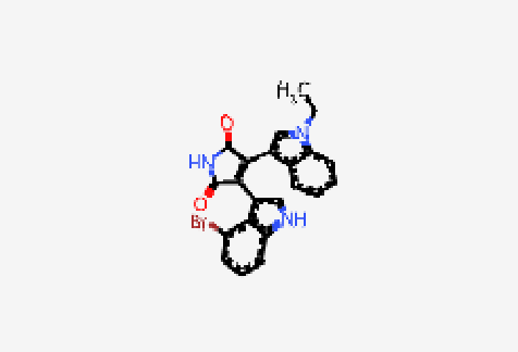 CCn1cc(C2=C(c3c[nH]c4cccc(Br)c34)C(=O)NC2=O)c2ccccc21